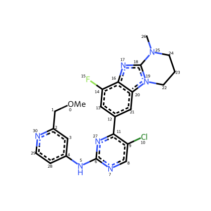 COCc1cc(Nc2ncc(Cl)c(-c3cc(F)c4nc5n(c4c3)CCCN5C)n2)ccn1